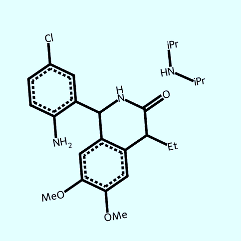 CC(C)NC(C)C.CCC1C(=O)NC(c2cc(Cl)ccc2N)c2cc(OC)c(OC)cc21